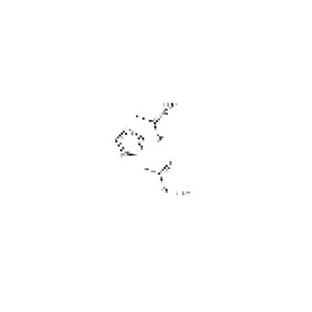 CC(=O)[O-].CC(=O)[O-].O.[Ca+2].c1cscn1